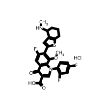 CNC1CCCc2sc(-c3c(F)cc4c(=O)c(C(=O)O)cn(-c5ccc(F)cc5F)c4c3OC)cc21.Cl